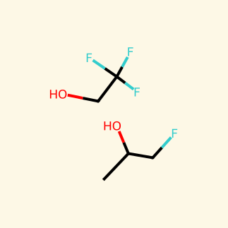 CC(O)CF.OCC(F)(F)F